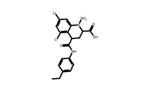 CCc1ccc(NC(=O)C2CC(C(=O)O)N(N)c3cc(Cl)cc(Cl)c32)cc1